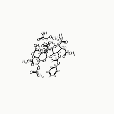 CO[C@H](COP(=O)(O)[C@@H]1OC(C(N)=O)[C@H](OC(C)=O)C(OC(=O)Oc2ccccc2)C1O[C@@H]1OC(COC(C)=O)[C@@H](OC(C)=O)C(OC(C)=O)C1NC(C)=O)C(=O)O